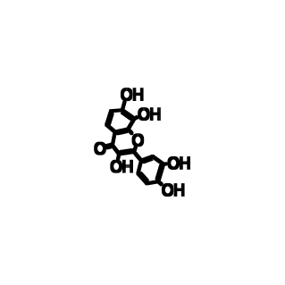 O=c1c(O)c(-c2ccc(O)c(O)c2)oc2c(O)c(O)ccc12